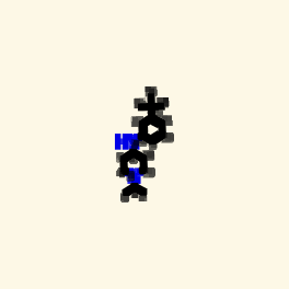 CC(C)N1CCC(Nc2cccc(C(C)(C)C)c2)CC1